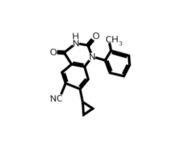 Cc1ccccc1-n1c(=O)[nH]c(=O)c2cc(C#N)c(C3CC3)cc21